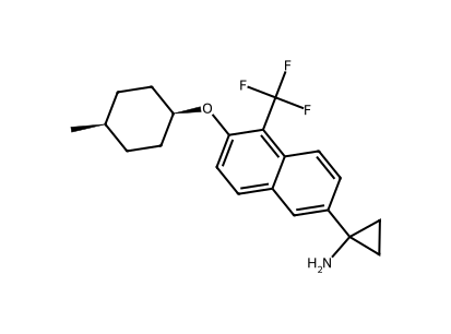 C[C@H]1CC[C@@H](Oc2ccc3cc(C4(N)CC4)ccc3c2C(F)(F)F)CC1